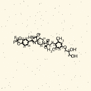 Cc1cc(OCC(O)CO)cc(C)c1CCS(=O)(=O)N1CCC2(CC1)N=C(c1ccc3c(c1)OC(F)(F)O3)NC2=O